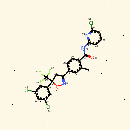 Cc1cc(C2=NOC(c3cc(Cl)cc(Cl)c3)(C(F)(F)F)C2)ccc1C(=O)Nc1cccc(Cl)n1